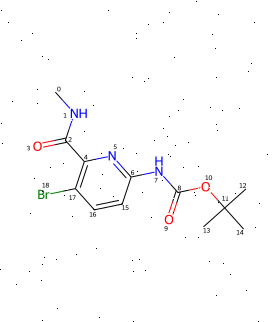 CNC(=O)c1nc(NC(=O)OC(C)(C)C)ccc1Br